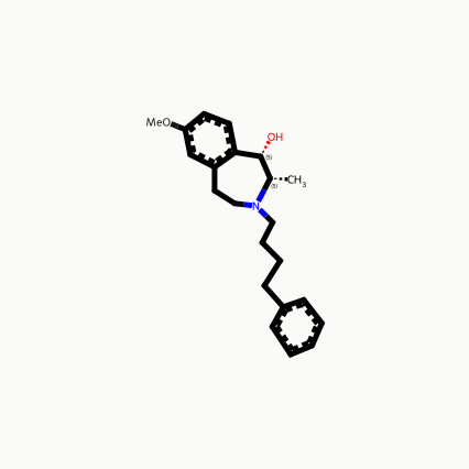 COc1ccc2c(c1)CCN(CCCCc1ccccc1)[C@@H](C)[C@H]2O